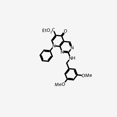 CCOC(=O)c1cn(-c2ccccc2)c2nc(NCc3cc(OC)cc(OC)c3)ncc2c1=O